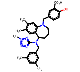 Cc1cc2c(cc1C(F)(F)F)N(Cc1ccc(O)c(C(=O)O)c1)CCCC2N(Cc1cc(C(F)(F)F)cc(C(F)(F)F)c1)c1nnn(C)n1